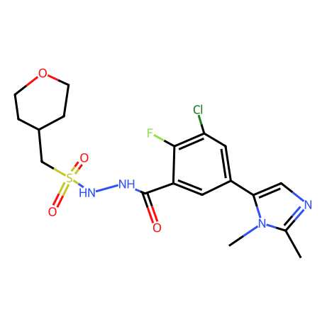 Cc1ncc(-c2cc(Cl)c(F)c(C(=O)NNS(=O)(=O)CC3CCOCC3)c2)n1C